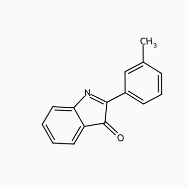 Cc1cccc(C2=Nc3ccccc3C2=O)c1